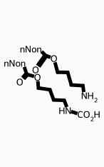 CCCCCCCCCC(=O)OCCCCN.CCCCCCCCCC(=O)OCCCCNC(=O)O